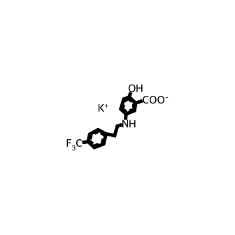 O=C([O-])c1cc(NCCc2ccc(C(F)(F)F)cc2)ccc1O.[K+]